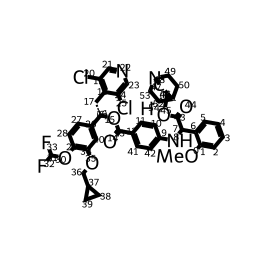 COc1ccccc1C(Nc1ccc(C(=O)O[C@@H](Cc2c(Cl)cncc2Cl)c2ccc(OC(F)F)c(OCC3CC3)c2)cc1)C(=O)O[C@H]1CN2CCC1CC2